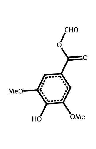 COc1cc(C(=O)OC=O)cc(OC)c1O